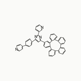 c1cncc(-c2nc(-c3ccc(-c4ccncc4)cc3)cc(-c3ccc4c5ccccc5c5ccccc5c5ccccc5c5ccccc5c4c3)n2)c1